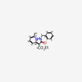 CCOC(=O)c1c(=O)n(Cc2ccccc2)n2c(C)cccc12